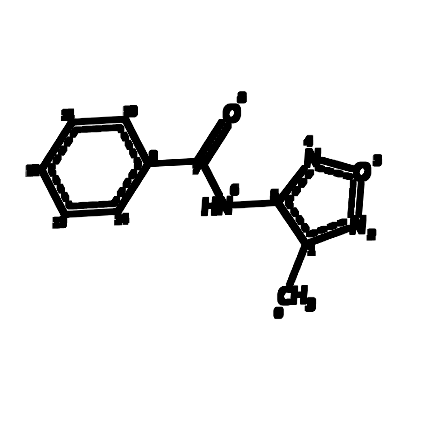 Cc1nonc1NC(=O)c1ccccc1